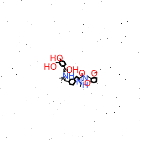 CCn1c(C(=O)NCc2c(OC)cccc2OC)cc2cc(C[C@@H](C)NC[C@@H](O)c3ccc(O)c(CO)c3)ccc21